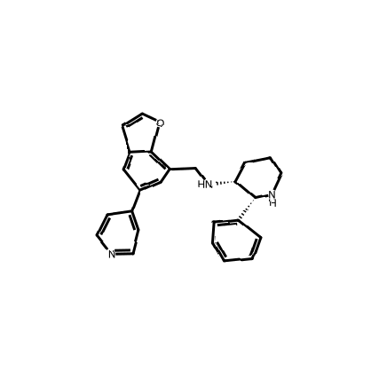 c1ccc([C@H]2NCCC[C@H]2NCc2cc(-c3ccncc3)cc3ccoc23)cc1